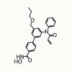 C=CC(=O)N(c1ccccc1)c1cc(COCCC)cc(-c2ccc(C(=O)NO)cc2)c1